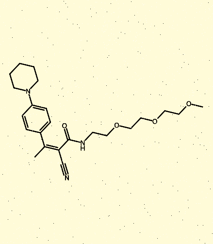 COCCOCCOCCNC(=O)C(C#N)=C(C)c1ccc(N2CCCCC2)cc1